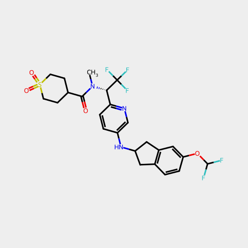 CN(C(=O)C1CCS(=O)(=O)CC1)[C@@H](c1ccc(NC2Cc3ccc(OC(F)F)cc3C2)cn1)C(F)(F)F